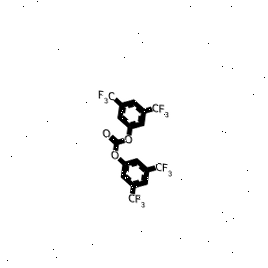 O=C(Oc1cc(C(F)(F)F)cc(C(F)(F)F)c1)Oc1cc(C(F)(F)F)cc(C(F)(F)F)c1